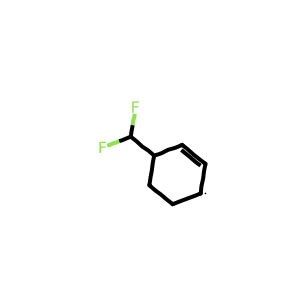 FC(F)C1C=C[CH]CC1